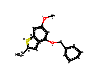 CC(C)Oc1cc(OCc2ccccc2)c2cc(C(=O)O)sc2c1